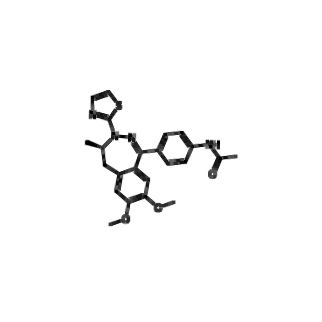 COc1cc2c(cc1OC)C(c1ccc(NC(C)=O)cc1)=NN(c1nccs1)[C@H](C)C2